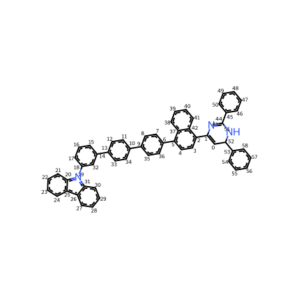 C1=C(c2ccc(-c3ccc(-c4ccc(-c5cccc(-n6c7ccccc7c7ccccc76)c5)cc4)cc3)c3ccccc23)N=C(c2ccccc2)NC1c1ccccc1